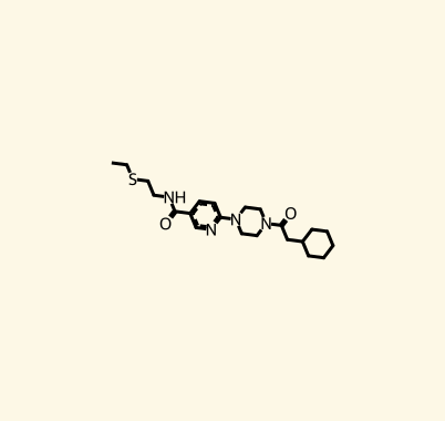 CCSCCNC(=O)c1ccc(N2CCN(C(=O)CC3CCCCC3)CC2)nc1